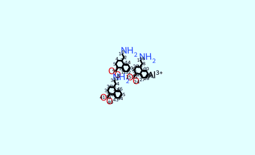 NCCC1CCC(C(=O)[O-])c2ccccc21.NCCC1CCC(C(=O)[O-])c2ccccc21.NCCC1CCC(C(=O)[O-])c2ccccc21.[Al+3]